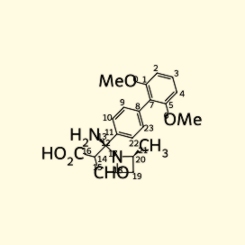 COc1cccc(OC)c1-c1ccc([C@@](N)(C(C=O)C(=O)O)N2CC[C@@H]2C)cc1